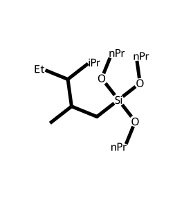 CCCO[Si](CC(C)C(CC)C(C)C)(OCCC)OCCC